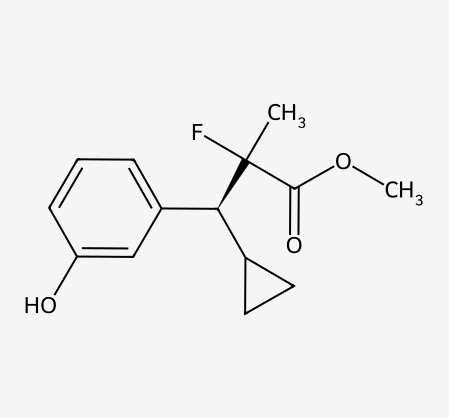 COC(=O)C(C)(F)[C@H](c1cccc(O)c1)C1CC1